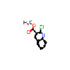 COC(=O)c1cc2ccccc2nc1Cl